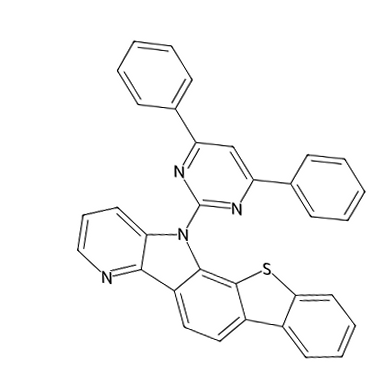 c1ccc(-c2cc(-c3ccccc3)nc(-n3c4cccnc4c4ccc5c6ccccc6sc5c43)n2)cc1